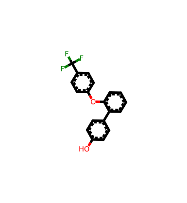 Oc1ccc(-c2ccccc2Oc2ccc(C(F)(F)F)cc2)cc1